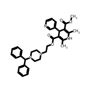 COC(=O)C1=C(C)NC(C)=C(C(=O)OCCN2CCN(C(c3ccccc3)c3ccccc3)CC2)C1c1cccnc1